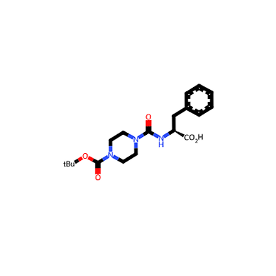 CC(C)(C)OC(=O)N1CCN(C(=O)N[C@@H](Cc2ccccc2)C(=O)O)CC1